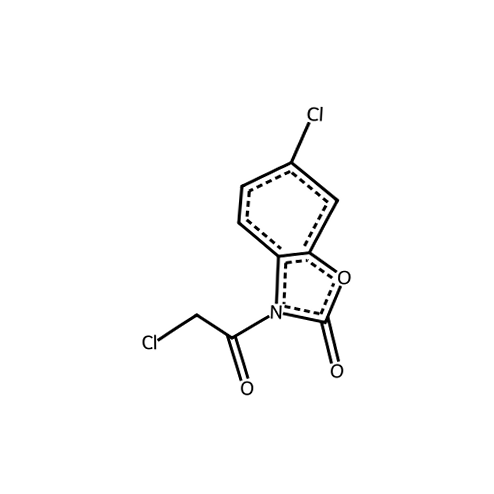 O=C(CCl)n1c(=O)oc2cc(Cl)ccc21